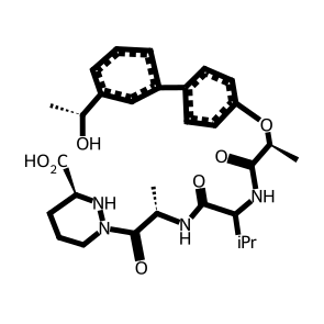 CC(C)C(NC(=O)[C@H](C)Oc1ccc(-c2cccc([C@@H](C)O)c2)cc1)C(=O)N[C@@H](C)C(=O)N1CCC[C@@H](C(=O)O)N1